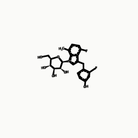 Cc1ccc(F)c2c(Cc3ccc(O)cc3F)cn([C@@H]3O[C@H](CO)[C@@H](O)[C@H](O)[C@H]3O)c12